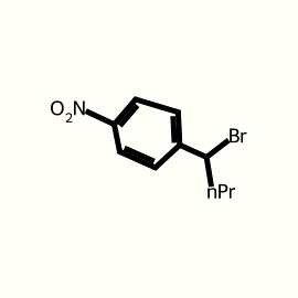 CCCC(Br)c1ccc([N+](=O)[O-])cc1